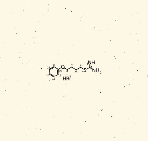 Br.N=C(N)SCCCCOc1ccccc1